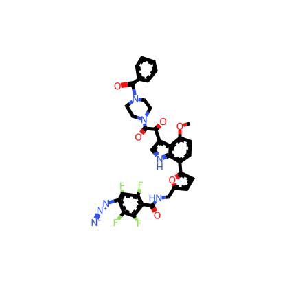 COc1ccc(-c2ccc(CNC(=O)c3c(F)c(F)c(N=[N+]=[N-])c(F)c3F)o2)c2[nH]cc(C(=O)C(=O)N3CCN(C(=O)c4ccccc4)CC3)c12